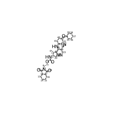 Cc1c(NC(=O)OCCN2C(=O)c3ccccc3C2=O)cn2ncc(C#N)c(Nc3ccc(Oc4ccccc4)cc3)c12